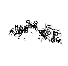 CCCN(CC(=O)NC(C(=O)N(C)CC(=O)N[C@@H](Cc1ccccc1)C(=O)N[C@@H](Cc1ccccc1)C(=O)NC1CCN(c2cc(O)c3nc4c5c6c7c(C)c(O)c5c(=O)c(c-4oc3c2)NC(=O)/C(C)=C\C=C\[C@H](C)C[C@@H](C)C[C@@H](C)[C@H](OC(C)=O)[C@H](C)C/C=C/O[C@@](C)(O7)C6=O)CC1)[C@@H](C)CC)C(=O)CNC(=O)CCN1C(=O)C=CC1=O